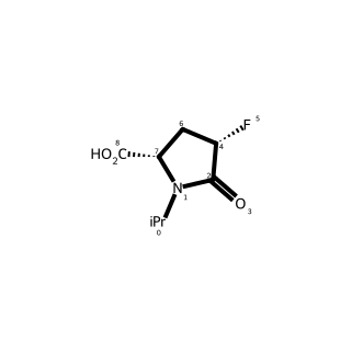 CC(C)N1C(=O)[C@@H](F)C[C@H]1C(=O)O